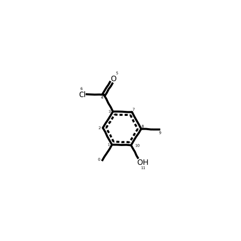 Cc1cc(C(=O)Cl)cc(C)c1O